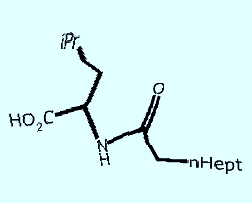 CCCCCCCCC(=O)NC(CC(C)C)C(=O)O